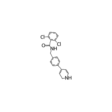 O=C(NCc1ccc(C2=CCNC=C2)cc1)c1c(Cl)cccc1Cl